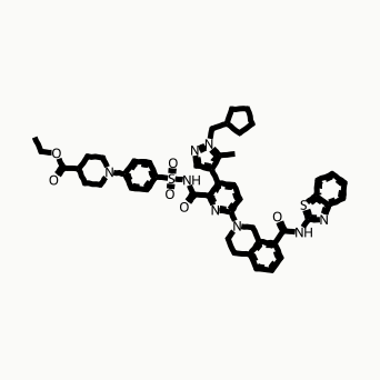 CCOC(=O)C1CCN(c2ccc(S(=O)(=O)NC(=O)c3nc(N4CCc5cccc(C(=O)Nc6nc7ccccc7s6)c5C4)ccc3-c3cnn(CC4CCCC4)c3C)cc2)CC1